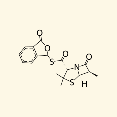 C[C@@H]1C(=O)N2[C@@H]1SC(C)(C)[C@@H]2C(=O)SC1OC(=O)c2ccccc21